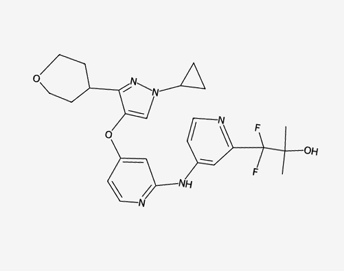 CC(C)(O)C(F)(F)c1cc(Nc2cc(Oc3cn(C4CC4)nc3C3CCOCC3)ccn2)ccn1